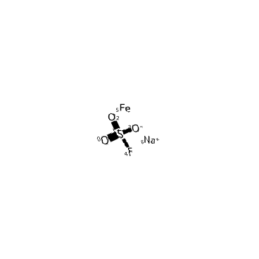 O=S(=O)([O-])F.[Fe].[Na+]